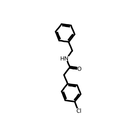 O=C(Cc1ccc(Cl)cc1)NCc1ccccc1